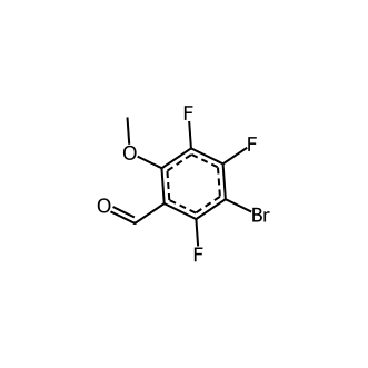 COc1c(F)c(F)c(Br)c(F)c1C=O